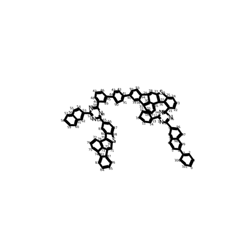 c1ccc(-c2ccc3cc(-c4nc(-c5ccccc5)nc(-c5cccc6sc7cc8c9c(cccc9c7c56)-c5cc(-c6ccc(-c7cccc(-c9nc(-c%10ccc%11ccccc%11c%10)nc(-c%10ccc%11sc%12cc%13c%14c(cccc%14c%12c%11c%10)-c%10ccccc%10-%13)n9)c7)cc6)ccc5-8)n4)ccc3c2)cc1